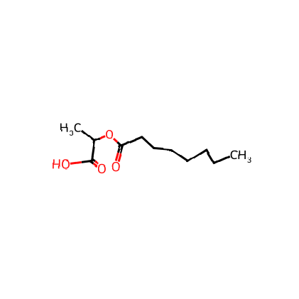 CCCCCCCC(=O)OC(C)C(=O)O